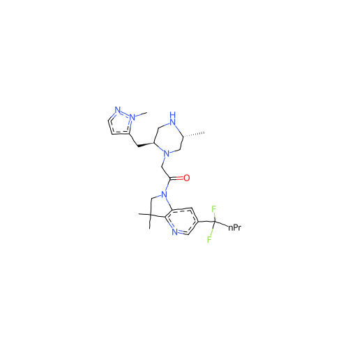 CCCC(F)(F)c1cnc2c(c1)N(C(=O)CN1C[C@@H](C)NC[C@@H]1Cc1ccnn1C)CC2(C)C